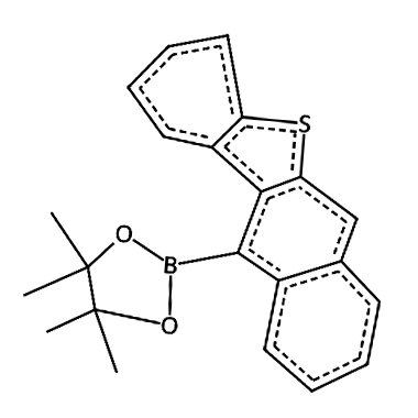 CC1(C)OB(c2c3ccccc3cc3sc4ccccc4c23)OC1(C)C